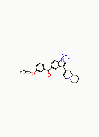 CCCCCCCCOc1cccc(C(=O)c2ccc3c(c2)c(C2=CCN4CCCCC4C2)cn3N)c1